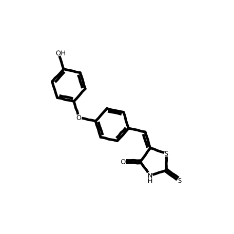 O=C1NC(=S)SC1=Cc1ccc(Oc2ccc(O)cc2)cc1